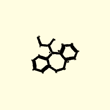 CCC(C)N1c2ccccc2CCc2ccccc21